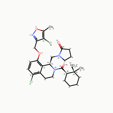 Cc1onc(COc2ccc(Cl)c3c2[C@@H](CN2CCCC2=O)N(C(=O)[C@@H]2CCCC[C@]2(C)C(=O)O)CC3)c1Cl